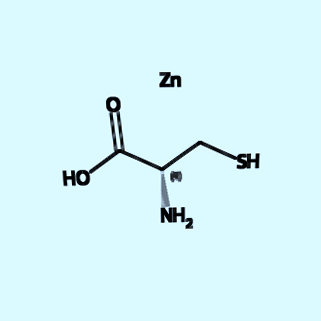 N[C@@H](CS)C(=O)O.[Zn]